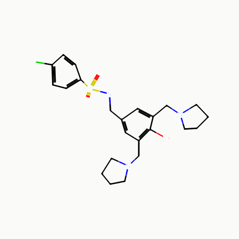 O=S(=O)(NCc1cc(CN2CCCC2)c(O)c(CN2CCCC2)c1)c1ccc(Cl)cc1